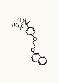 C[C@@](N)(C(=O)O)c1ccc(OCCOc2ccc3ccccc3c2)cc1